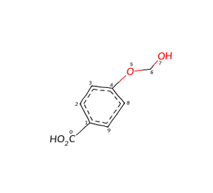 O=C(O)c1ccc(OCO)cc1